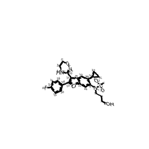 CS(=O)(=O)N(CCCO)c1cc2oc(-c3ccc(F)cc3)c(C3=NOCCN3)c2cc1C1CC1